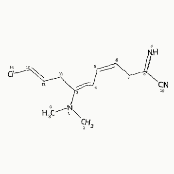 CN(C)/C(=C/C=C\CC(=N)C#N)C/C=C/Cl